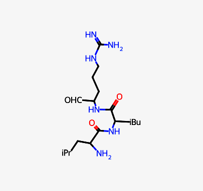 CCC(C)C(NC(=O)C(N)CC(C)C)C(=O)NC(C=O)CCCNC(=N)N